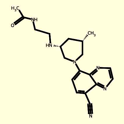 CC(=O)NCCN[C@@H]1C[C@H](C)CN(c2ccc(C#N)c3nccnc23)C1